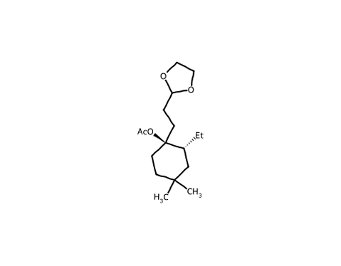 CC[C@@H]1CC(C)(C)CC[C@@]1(CCC1OCCO1)OC(C)=O